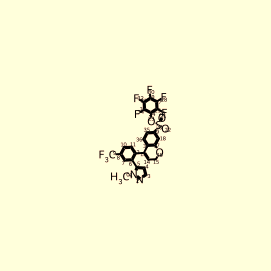 Cn1nccc1-c1cc(C(F)(F)F)ccc1C1=CCOc2cc(S(=O)(=O)Oc3c(F)c(F)c(F)c(F)c3F)ccc21